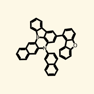 c1ccc2c(c1)B1c3cc4ccccc4cc3N(c3ccc4ccccc4c3)c3cc(-c4cccc5oc6ccccc6c45)cc-2c31